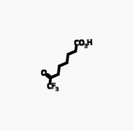 O=C(O)CCCCCC(=O)C(F)(F)F